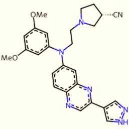 COc1cc(OC)cc(N(CCN2CC[C@H](C#N)C2)c2ccc3ncc(-c4cn[nH]c4)nc3c2)c1